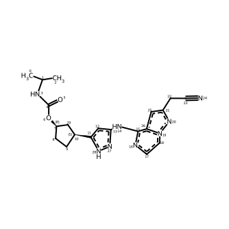 CC(C)NC(=O)O[C@@H]1CC[C@H](c2cc(Nc3nccn4nc(CC#N)cc34)n[nH]2)C1